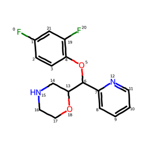 Fc1ccc(OC(c2ccccn2)C2CNCCO2)c(F)c1